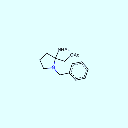 CC(=O)NC1(COC(C)=O)[CH]CCN1Cc1ccccc1